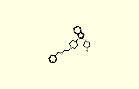 c1ccc(COCCN2CCC(n3c([C@@H]4CCNC4)nc4ccccc43)CC2)cc1